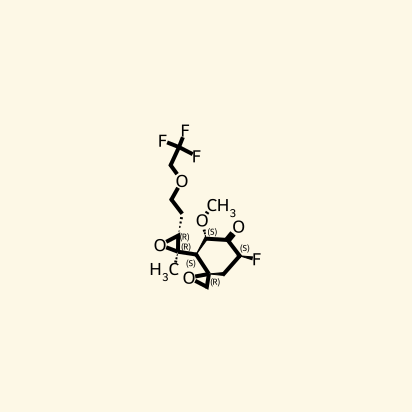 CO[C@@H]1C(=O)[C@@H](F)C[C@]2(CO2)[C@H]1[C@@]1(C)O[C@@H]1CCOCC(F)(F)F